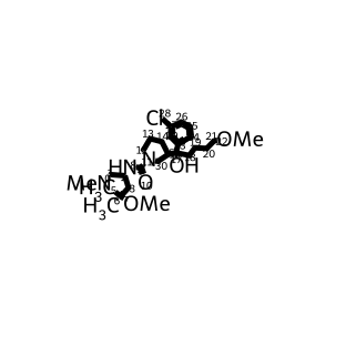 CNCC(CC(C)(C)OC)NC(=O)N1CCCC([C@@](O)(CCCCOC)c2cccc(Cl)c2)C1